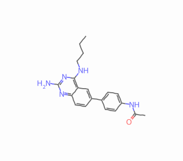 CCCCNc1nc(N)nc2ccc(-c3ccc(NC(C)=O)cc3)cc12